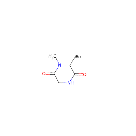 CCC(C)C1C(=O)NCC(=O)N1C